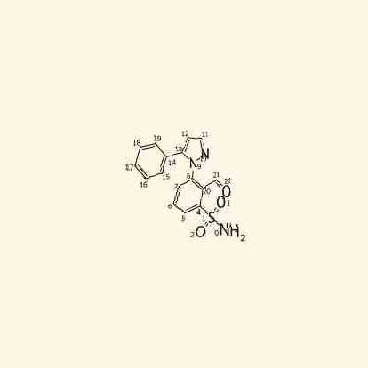 NS(=O)(=O)c1cccc(-n2nccc2-c2ccccc2)c1C=O